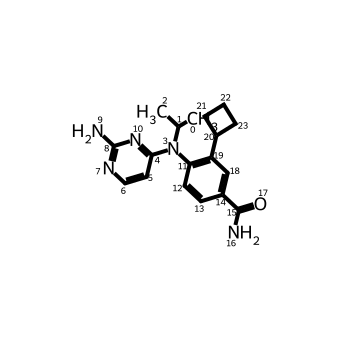 CC(C)N(c1ccnc(N)n1)c1ccc(C(N)=O)cc1C1CCC1